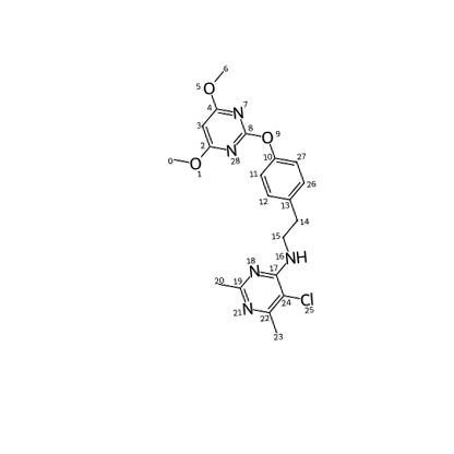 COc1cc(OC)nc(Oc2ccc(CCNc3nc(C)nc(C)c3Cl)cc2)n1